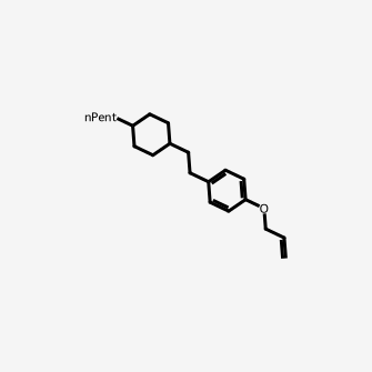 C=CCOc1ccc(CCC2CCC(CCCCC)CC2)cc1